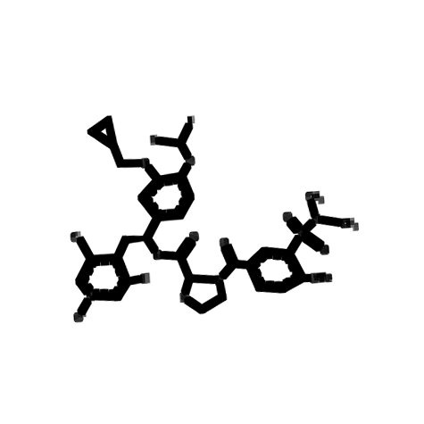 COc1ccc(C(=O)N2CCSC2C(=O)O[C@@H](Cc2c(Cl)c[n+]([O-])cc2Cl)c2ccc(OC(F)F)c(OCC3CC3)c2)cc1S(=O)(=O)N(C)C